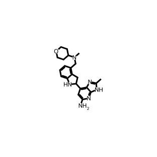 Cc1nc2c(C3Cc4c(CN(C)C5CCOCC5)cccc4N3)cc(N)nc2[nH]1